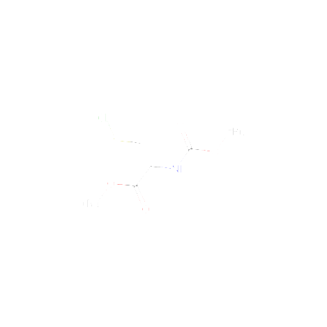 CC(C)(C)OC(=O)N[C@@H](CSCl)C(=O)OC(C)(C)C